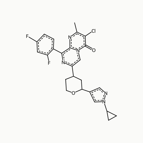 Cc1nc2c(-c3ccc(F)cc3F)nc(C3CCOC(c4cnn(C5CC5)c4)C3)cn2c(=O)c1Cl